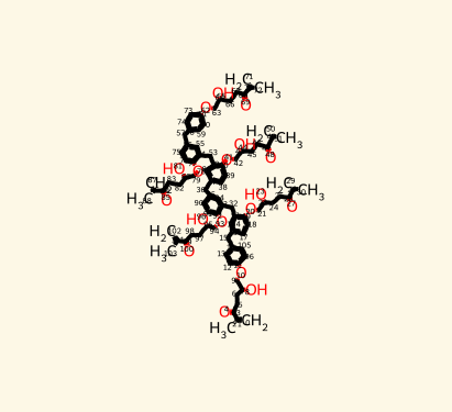 C=C(C)C(=O)CCC(O)COc1ccc(Cc2ccc(OCC(O)CCC(=O)C(=C)C)c(Cc3cc(Cc4ccc(OCC(O)CCC(=O)C(=C)C)c(Cc5cc(Cc6ccc(OCC(O)CCC(=O)C(=C)C)cc6)ccc5OCC(O)CCC(=O)C(=C)C)c4)ccc3OCC(O)CCC(=O)C(=C)C)c2)cc1